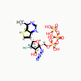 Cc1ncnc2c([C@@H]3O[C@@](COP(=O)(O)OP(=O)(O)OP(=O)(O)O)(N=[N+]=[N-])[C@@H](O)[C@H]3F)csc12